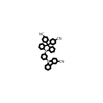 N#Cc1ccc(C2(c3ccc(C#N)cc3)c3ccccc3N(c3cccc(-n4c5ccccc5c5cc(C#N)ccc54)c3)c3ccccc32)cc1